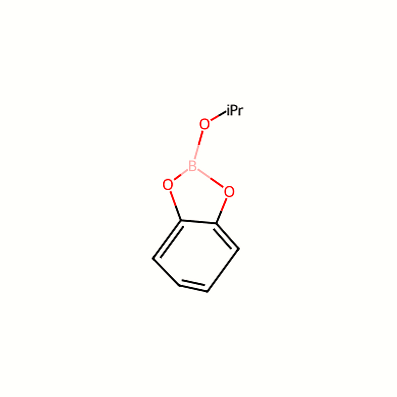 CC(C)OB1Oc2ccccc2O1